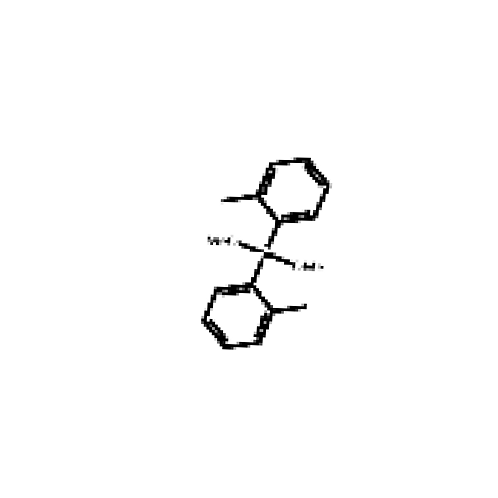 CO[Si](OC)(c1ccccc1C)c1ccccc1C